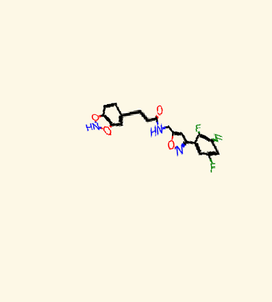 O=C(CCc1ccc2c(c1)ONO2)NCc1cc(-c2cc(F)cc(F)c2F)no1